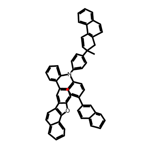 CC1(c2ccc(N(c3ccc(-c4ccc5ccccc5c4)cc3)c3ccccc3-c3ccc4oc5c6ccccc6ccc5c4c3)cc2)C=Cc2c(ccc3ccccc23)C1